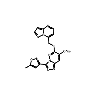 COc1cc2nnc(-c3cc(C)on3)n2nc1OCc1ccnc2ccnn12